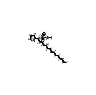 CCCCCCCCCCCCCCC(OS(=O)(=O)O)C1CCCO1